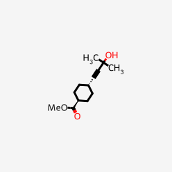 COC(=O)[C@H]1CC[C@H](C#CC(C)(C)O)CC1